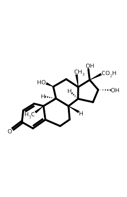 C[C@]12C=CC(=O)C=C1CC[C@@H]1[C@@H]2[C@@H](O)C[C@@]2(C)[C@H]1C[C@@H](O)[C@]2(O)C(=O)O